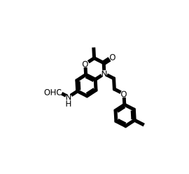 Cc1cccc(OCCN2C(=O)C(C)Oc3cc(NC=O)ccc32)c1